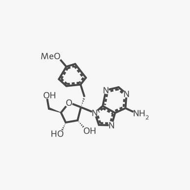 COc1ccc(C[C@@]2(n3cnc4c(N)ncnc43)O[C@H](CO)[C@@H](O)[C@H]2O)cc1